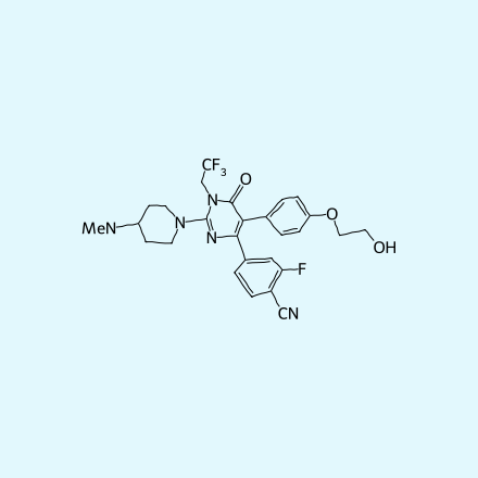 CNC1CCN(c2nc(-c3ccc(C#N)c(F)c3)c(-c3ccc(OCCO)cc3)c(=O)n2CC(F)(F)F)CC1